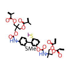 C=CC(=O)OCC(C)(COC(=O)C=C)NC(=O)Oc1ccc(SI)c(-c2ccc(NC(=O)OCC(C)(COC(=O)C(=C)C)COC(=O)C(=C)C)cc2SC)c1